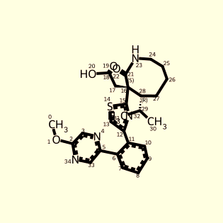 COc1cnc(-c2ccccc2-c2csc([C@]3(CC(=O)O)C(=O)NCCCC[C@@H]3C(C)C)n2)cn1